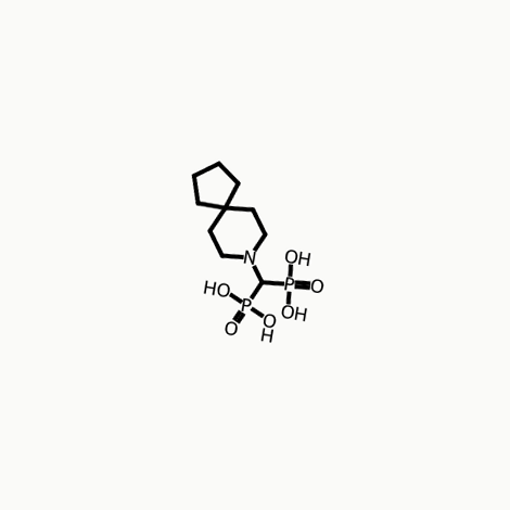 O=P(O)(O)C(N1CCC2(CCCC2)CC1)P(=O)(O)O